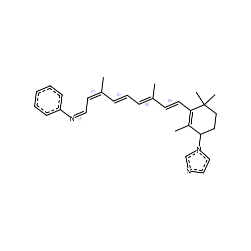 CC1=C(/C=C/C(C)=C/C=C/C(C)=C\C=N/c2ccccc2)C(C)(C)CCC1n1ccnc1